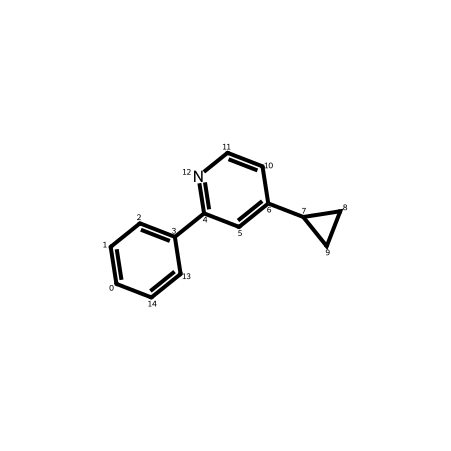 c1ccc(-c2cc(C3CC3)ccn2)cc1